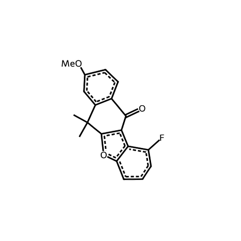 COc1ccc2c(c1)C(C)(C)c1oc3cccc(F)c3c1C2=O